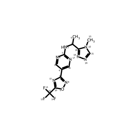 CC(Nc1ncc(-c2noc(C(F)(F)F)n2)cn1)c1nncn1C